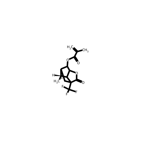 C=C(C)C(=O)OC1C2OC(=O)C3(C(F)(F)F)CC1[C@@H](C)C23